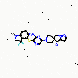 CC(=O)N1CC(F)(F)c2c(Sc3ncc(N4CCC5(CC4)Cn4nccc4[C@H]5N)nc3N)cccc21